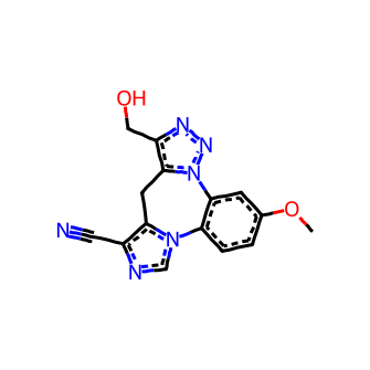 COc1ccc2c(c1)-n1nnc(CO)c1Cc1c(C#N)ncn1-2